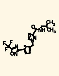 CC(C)CNC(=O)c1ncn(Cc2ccc(-c3noc(C(F)(F)F)n3)s2)n1